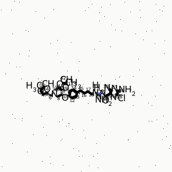 CC1(C)OC[C@H](CN(CCOc2ccc(CCCCN/C(N)=N/C(=O)c3nc(Cl)c(N)nc3N)cc2)C[C@H]2COC(C)(C)O2)O1